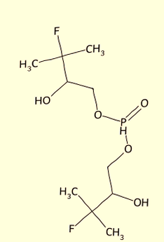 CC(C)(F)C(O)CO[PH](=O)OCC(O)C(C)(C)F